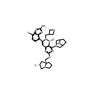 Nc1nc2c(C3=Cc4nc(OC[C@@]56CCCN5C[C@H](F)C6)nc(N5CC6CCC(C5)N6)c4[S+]([O-])N3CC3COC3)ccc(F)c2s1